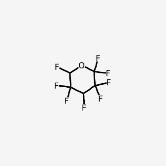 FC1OC(F)(F)C(F)(F)C(F)C1(F)F